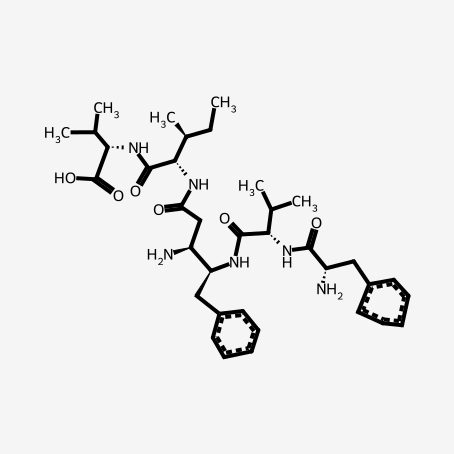 CC[C@H](C)[C@H](NC(=O)C[C@H](N)[C@H](Cc1ccccc1)NC(=O)[C@@H](NC(=O)[C@@H](N)Cc1ccccc1)C(C)C)C(=O)N[C@H](C(=O)O)C(C)C